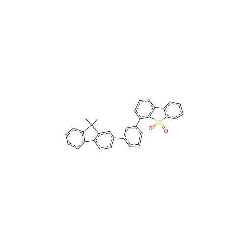 CC1(C)c2ccccc2-c2ccc(-c3cccc(-c4cccc5c4S(=O)(=O)c4ccccc4-5)c3)cc21